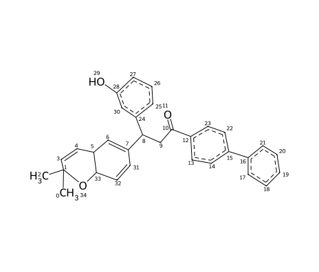 CC1(C)C=CC2C=C(C(CC(=O)c3ccc(-c4ccccc4)cc3)c3cccc(O)c3)C=CC2O1